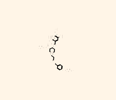 COc1ccc(COC(=O)CCN2CC[C@H](NC(=O)c3cc(Cl)c(N)[nH]c3=O)[C@H](OC)C2)cc1